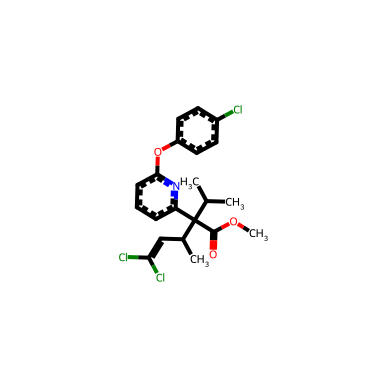 COC(=O)C(c1cccc(Oc2ccc(Cl)cc2)n1)(C(C)C)C(C)C=C(Cl)Cl